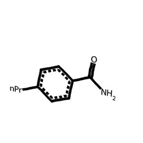 [CH2]CCc1ccc(C(N)=O)cc1